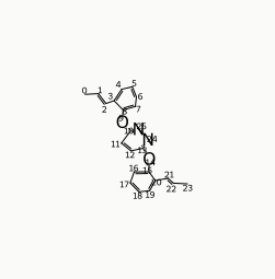 CC=Cc1ccccc1Oc1ccc(Oc2ccccc2C=CC)nn1